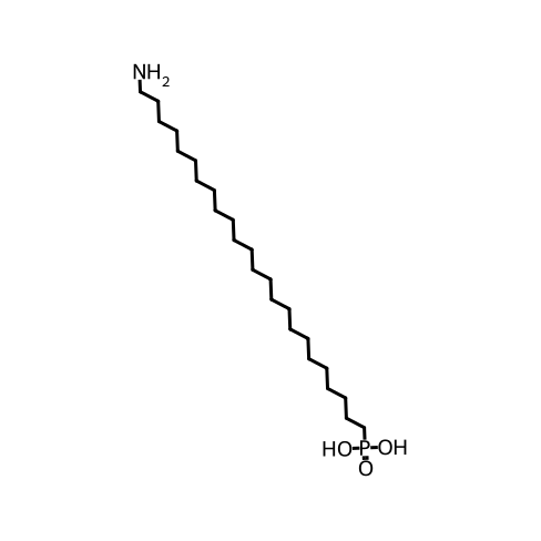 NCCCCCCCCCCCCCCCCCCCCCCCCP(=O)(O)O